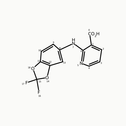 O=C(O)c1cccnc1Nc1ccc2c(c1)OC(F)(F)O2